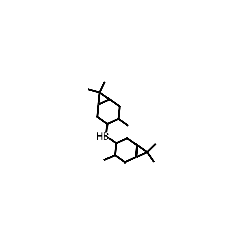 CC1CC2C(CC1BC1CC3C(CC1C)C3(C)C)C2(C)C